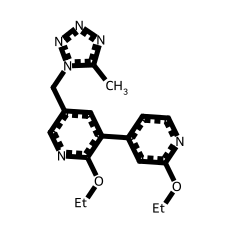 CCOc1cc(-c2cc(Cn3nnnc3C)cnc2OCC)ccn1